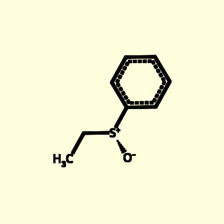 CC[S@@+]([O-])c1ccccc1